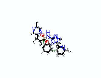 Cc1cnc([C@@H](C)[C@H](C)S(=O)(=O)Nc2nnc(-c3cccc(C)n3)n2-c2c(F)cccc2F)cn1